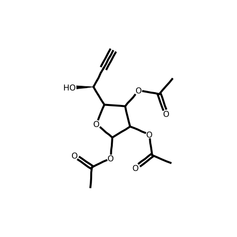 C#C[C@H](O)C1OC(OC(C)=O)C(OC(C)=O)C1OC(C)=O